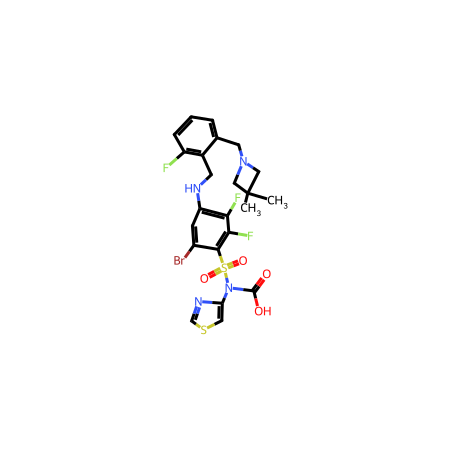 CC1(C)CN(Cc2cccc(F)c2CNc2cc(Br)c(S(=O)(=O)N(C(=O)O)c3cscn3)c(F)c2F)C1